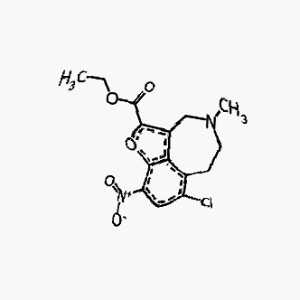 CCOC(=O)c1oc2c([N+](=O)[O-])cc(Cl)c3c2c1CN(C)CC3